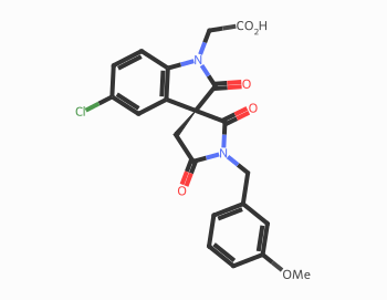 COc1cccc(CN2C(=O)C[C@]3(C2=O)C(=O)N(CC(=O)O)c2ccc(Cl)cc23)c1